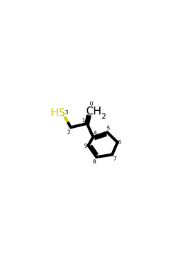 C=C(CS)C1=CCCC=C1